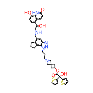 O=C(OC1CC2(C1)CN(CCCn1nnc3cc(CNC[C@H](O)c4ccc(O)c5[nH]c(=O)ccc45)c4c(c31)CCC4)C2)C(O)(c1cccs1)c1cccs1